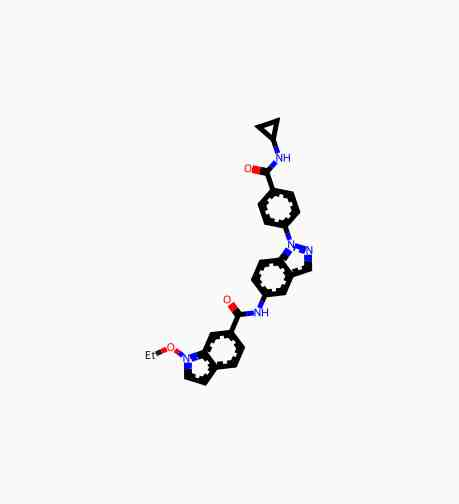 CCOn1ccc2ccc(C(=O)Nc3ccc4c(cnn4-c4ccc(C(=O)NC5CC5)cc4)c3)cc21